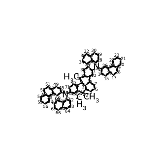 Cc1c2c3c(cccc3c3cc(N(c4ccc5ccc6ccccc6c5c4)c4cccc5ccccc45)ccc13)C(C)(C)c1cc(N(c3ccc4ccc5ccccc5c4c3)c3cccc4ccccc34)ccc1-2